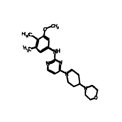 COc1cc(Nc2nccc(N3CCC(N4CCOCC4)CC3)n2)cc(C)c1C